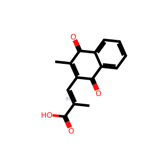 CC1=C(/C=C(\C)C(=O)O)C(=O)c2ccccc2C1=O